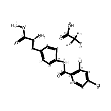 COC(=O)[C@@H](N)Cc1ccc(NC(=O)c2ncc(Cl)cc2Cl)cc1.O=C(O)C(F)(F)F